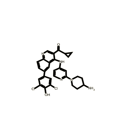 NC1CCN(c2cc(Nc3c(C(=O)C4CC4)cnc4ccc(-c5cc(Cl)c(O)c(Cl)c5)cc34)ccn2)CC1